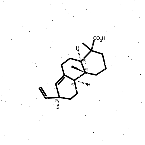 C=C[C@@]1(C)C=C2CC[C@H]3C(C)(C(=O)O)CCC[C@]3(C)[C@H]2CC1